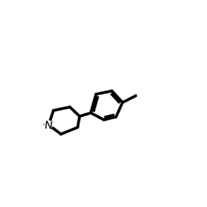 Cc1ccc(C2CC[N]CC2)cc1